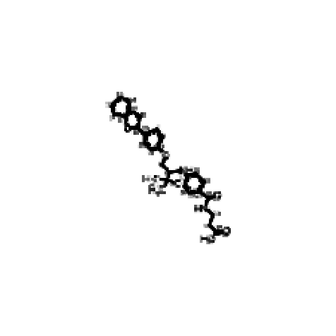 CC(C)(C)C(COc1ccc(-c2cc3ccccc3o2)cc1)Nc1ccc(C(=O)NCCC(=O)O)cc1